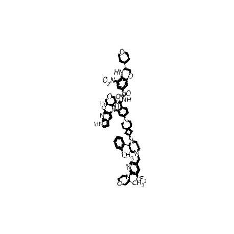 Cc1ccccc1[C@@H]1CN(Cc2cnc(N3CCOC[C@@H]3C)c(C(F)(F)F)c2)CCN1C1CC2(CCN(c3ccc(C(=O)NS(=O)(=O)c4cc5c(c([N+](=O)[O-])c4)N[C@H](C4CCOCC4)CO5)c(N4c5cc6cc[nH]c6nc5O[C@H]5COCC[C@@H]54)c3)CC2)C1